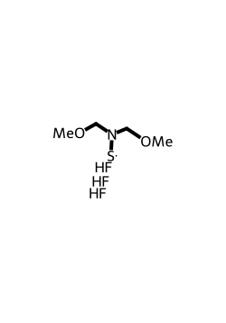 COCN([S])COC.F.F.F